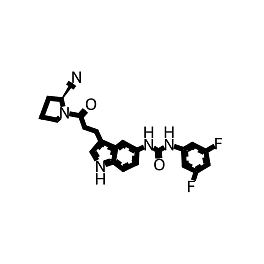 N#C[C@@H]1CCCN1C(=O)CCc1c[nH]c2ccc(NC(=O)Nc3cc(F)cc(F)c3)cc12